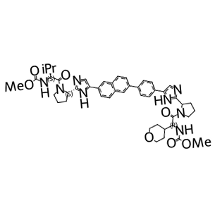 COC(=O)N[C@H](C(=O)N1CCC[C@H]1c1ncc(-c2ccc3cc(-c4ccc(-c5cnc(C6CCCN6C(=O)[C@H](NC(=O)OC)C6CCOCC6)[nH]5)cc4)ccc3c2)[nH]1)C(C)C